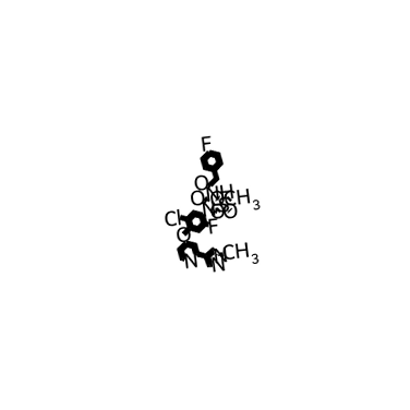 Cn1cc(-c2cc(Oc3cc(F)c(N(OS(C)(=O)=O)C(=O)NC(=O)Cc4ccc(F)cc4)cc3Cl)ccn2)cn1